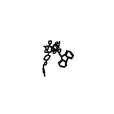 CC#CCO[C@H]1CC[C@H](C(=O)N[C@H](C(=O)OC)[C@@H](C)NC(=O)OCC2c3ccccc3-c3ccccc32)CC1